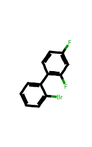 Fc1[c]c(F)c(-c2ccccc2Br)cc1